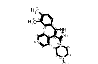 Cc1ccc(-c2[nH]nc(N3CCN(C)CC3)c2-c2ccncc2)cc1C